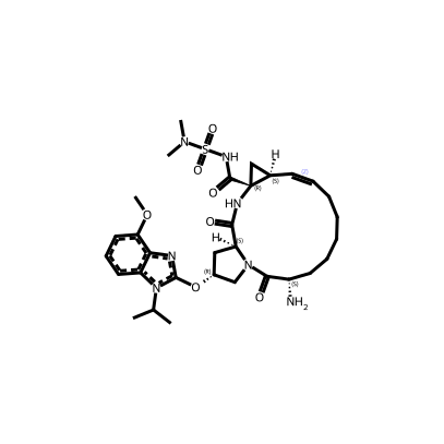 COc1cccc2c1nc(O[C@@H]1C[C@H]3C(=O)N[C@]4(C(=O)NS(=O)(=O)N(C)C)C[C@H]4/C=C\CCCCC[C@H](N)C(=O)N3C1)n2C(C)C